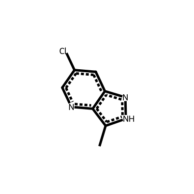 Cc1[nH]nc2cc(Cl)cnc12